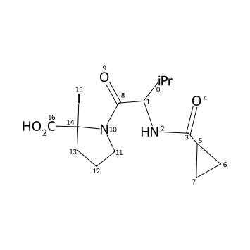 CC(C)C(NC(=O)C1CC1)C(=O)N1CCCC1(I)C(=O)O